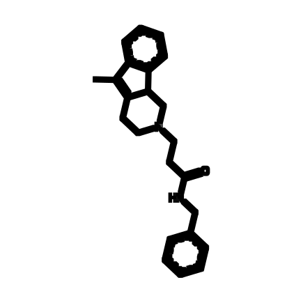 CC1=C2CCN(CCC(=O)NCc3ccccc3)CC2c2ccccc21